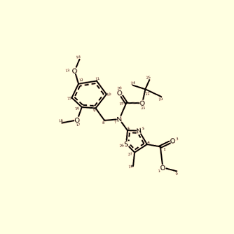 COC(=O)c1nc(N(Cc2ccc(OC)cc2OC)C(=O)OC(C)(C)C)sc1C